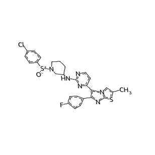 Cc1cn2c(-c3ccnc(N[C@@H]4CCCN([S+]([O-])c5ccc(Cl)cc5)C4)n3)c(-c3ccc(F)cc3)nc2s1